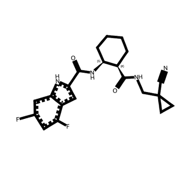 N#CC1(CNC(=O)[C@@H]2CCCC[C@@H]2NC(=O)c2cc3c(F)cc(F)cc3[nH]2)CC1